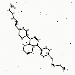 NC/C=C\C[C@H]1CC=C(C2C=CC(C3CCC(/C=C/CCCN)CC3)C3CCC=CC23)CC1